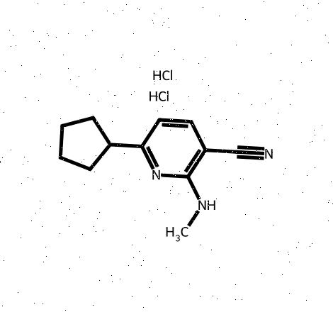 CNc1nc(C2CCCC2)ccc1C#N.Cl.Cl